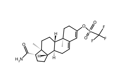 C[C@]12CC[C@H]3[C@@H](CC=C4C=C(OS(=O)(=O)C(F)(F)F)CC[C@@]43C)[C@@H]1CC[C@@H]2C(N)=O